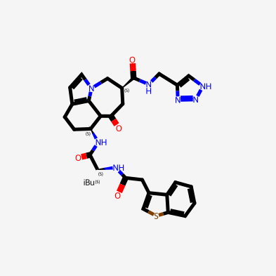 CC[C@H](C)[C@H](NC(=O)Cc1csc2ccccc12)C(=O)N[C@H]1CCc2ccn3c2C1C(=O)C[C@H](C(=O)NCc1c[nH]nn1)C3